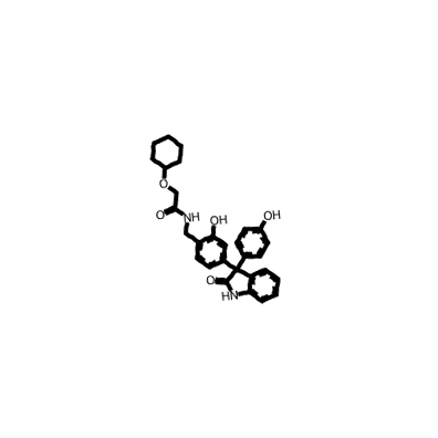 O=C(COC1CCCCC1)NCc1ccc(C2(c3ccc(O)cc3)C(=O)Nc3ccccc32)cc1O